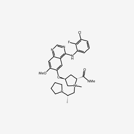 CNC(=O)[C@H]1C[C@H](Oc2cc3c(Nc4cccc(Cl)c4F)ncnc3cc2OC)C[N+]1(C)C[C@H](C)N1CCCC1